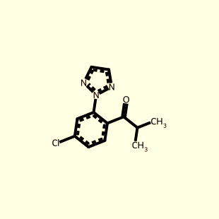 CC(C)C(=O)c1ccc(Cl)cc1-n1nccn1